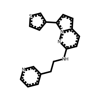 c1cncc(CCNc2ccc3ccc(-c4ccsc4)n3n2)c1